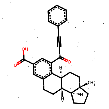 C[C@@]12CCC[C@H]1[C@@H]1CCc3cc(C(=O)O)cc(C(=O)C#Cc4ccccc4)c3[C@H]1CC2